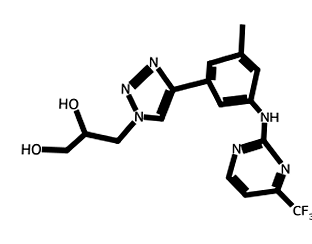 Cc1cc(Nc2nccc(C(F)(F)F)n2)cc(-c2cn(CC(O)CO)nn2)c1